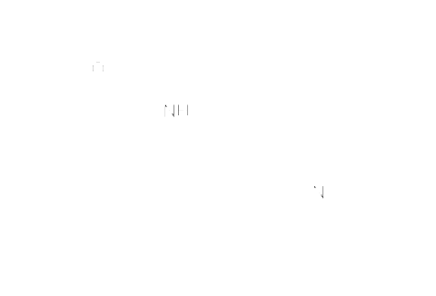 CN(C)CCCNC=O